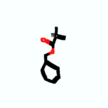 C=[13C](C)C(=O)OCc1ccccc1